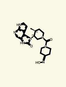 C[C@H]1CCN(C(=O)N2CCC(=NO)CC2)C[C@H]1n1c(=O)[nH]c2cnc3[nH]ccc3c21